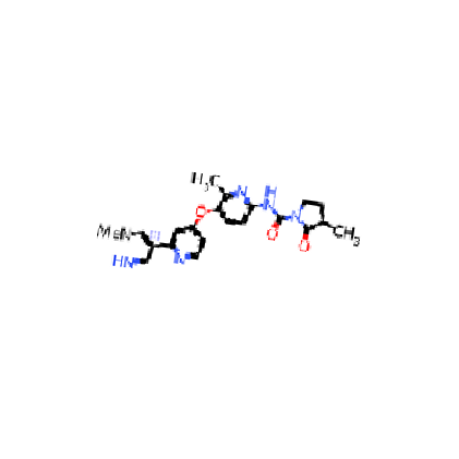 CN/C=C(\C=N)c1cc(Oc2ccc(NC(=O)N3CCC(C)C3=O)nc2C)ccn1